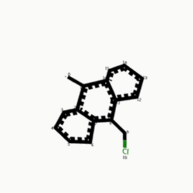 [CH2]c1c2ccccc2c(CCl)c2ccccc12